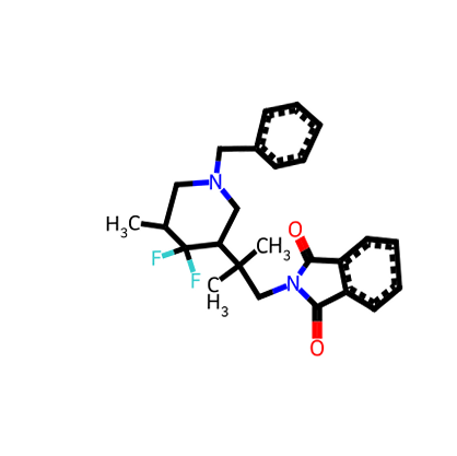 CC1CN(Cc2ccccc2)CC(C(C)(C)CN2C(=O)c3ccccc3C2=O)C1(F)F